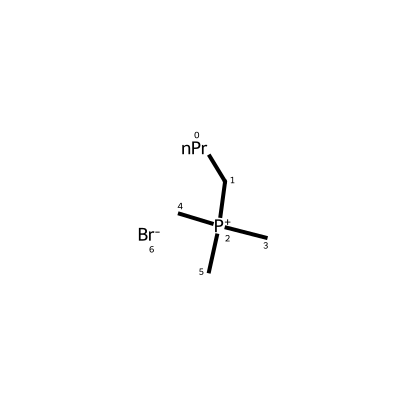 CCCC[P+](C)(C)C.[Br-]